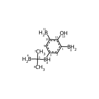 Bc1cc(BC(B)(C)C)cc(B)c1O